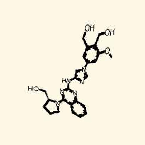 COc1cc(-n2cnc(Nc3nc(N4CCC[C@H]4CO)c4ccccc4n3)c2)cc(CO)c1CO